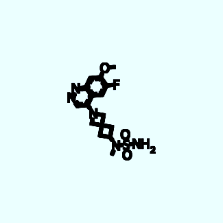 COc1cc2nncc(N3CC4(CC(N(C)S(N)(=O)=O)C4)C3)c2cc1F